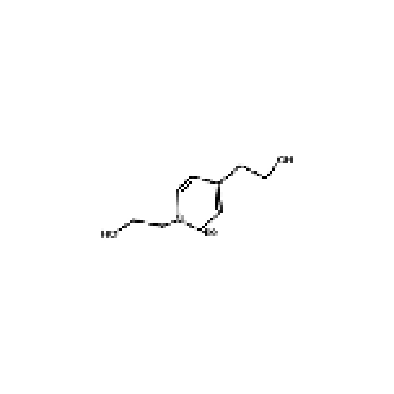 Br.OCCC1=CCN(CCO)C=C1